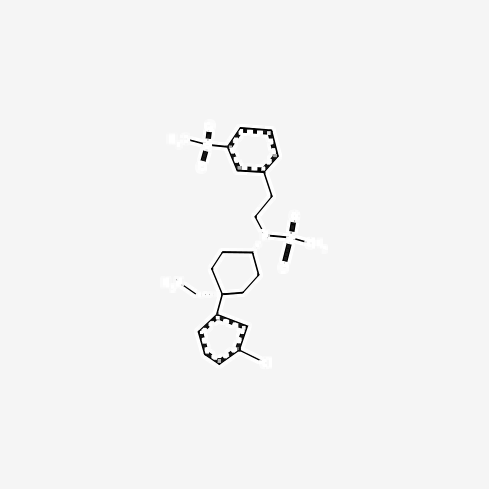 CS(=O)(=O)c1cccc(CCN([C@H]2CC[C@](CN)(c3cccc(Cl)c3)CC2)S(C)(=O)=O)c1